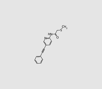 CSCC(=O)Nc1ccc(C#Cc2ccccc2)cn1